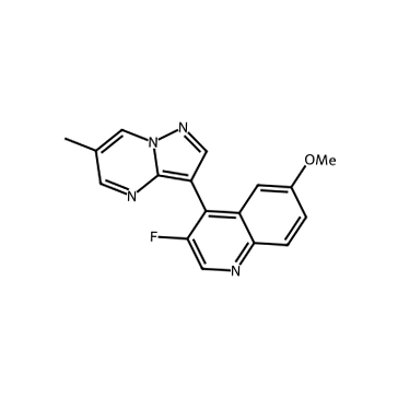 COc1ccc2ncc(F)c(-c3cnn4cc(C)cnc34)c2c1